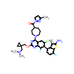 Cc1ccn(C(=O)C2CCCN(c3nc(OCC4(CN(C)C)CC4)nc4c(F)c(-c5ccc(F)c6sc(N)c(C#N)c56)c(Cl)cc34)CC2)n1